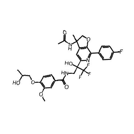 COc1cc(C(=O)NCC(O)(c2cc3c(c(-c4ccc(F)cc4)n2)OCC3(C)NC(C)=O)C(F)(F)F)ccc1OCC(C)O